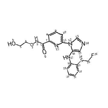 O=C(NOCCO)c1cccc(-n2cncc2Nc2ccccc2SCF)n1